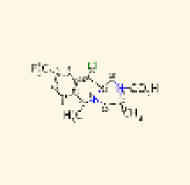 CC(c1ccc(C(F)(F)F)cc1)N1C[C@H](C)N(C(=O)O)CC1CCl